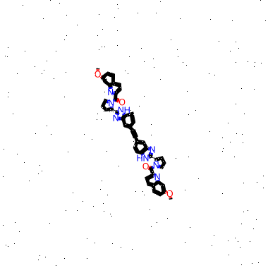 COc1ccc2ccc(C(=O)N3CCC[C@H]3c3nc4cc(C#Cc5ccc6[nH]c([C@@H]7CCCN7C(=O)c7ccc8ccc(OC)cc8n7)nc6c5)ccc4[nH]3)nc2c1